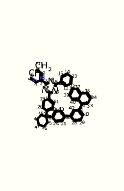 C=C/C=C(\C=C/C)c1nc(-c2ccccc2)nc(-c2ccc(C3(c4ccc(-c5cccc(-c6cccc7ccccc67)c5)cc4)CCCCC3)cc2)n1